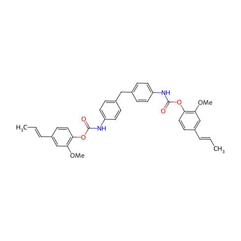 C/C=C/c1ccc(OC(=O)Nc2ccc(Cc3ccc(NC(=O)Oc4ccc(/C=C/C)cc4OC)cc3)cc2)c(OC)c1